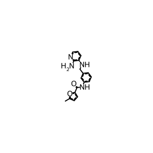 Cc1ccc(C(=O)Nc2cccc(CNc3cccnc3N)c2)o1